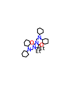 CCC1(CC)C(=O)N(CN(C2CCCCC2)C2CCCCC2)C(=O)N1CN(C1CCCCC1)C1CCCCC1